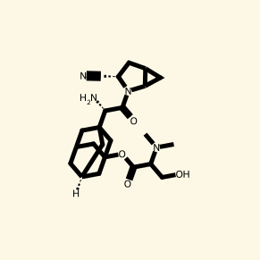 CN(C)C(CO)C(=O)OC12CC3C[C@H](C1)CC([C@H](N)C(=O)N1C4CC4C[C@H]1C#N)(C3)C2